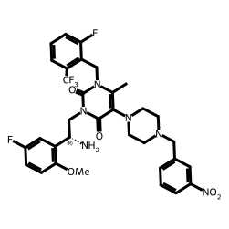 COc1ccc(F)cc1[C@@H](N)Cn1c(=O)c(N2CCN(Cc3cccc([N+](=O)[O-])c3)CC2)c(C)n(Cc2c(F)cccc2C(F)(F)F)c1=O